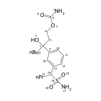 CCCCC(O)(CCOC(N)=O)c1cccc(C(CCC)S(N)(=O)=O)c1